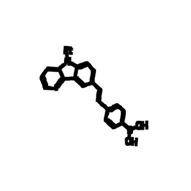 CCn1c2ccccc2c2cc(C=Cc3ccc(B(O)O)cc3)ccc21